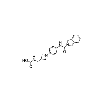 O=C(O)NCC1CN(c2ccc(NC(=O)N3C=C4CC=CC=C4C3)cc2)C1